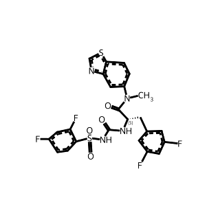 CN(C(=O)[C@H](Cc1cc(F)cc(F)c1)NC(=O)NS(=O)(=O)c1ccc(F)cc1F)c1ccc2scnc2c1